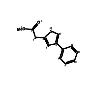 COC(=O)Sc1nc(-c2ccccc2)cs1